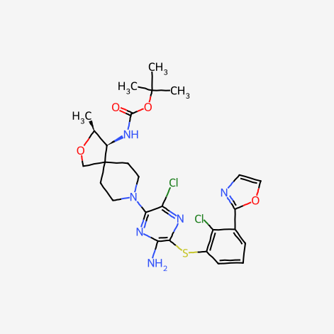 C[C@@H]1OCC2(CCN(c3nc(N)c(Sc4cccc(-c5ncco5)c4Cl)nc3Cl)CC2)[C@@H]1NC(=O)OC(C)(C)C